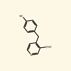 N#Cc1ccc(Cc2ccncc2C=O)cc1